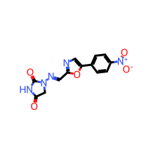 O=C1CN(N=Cc2ncc(-c3ccc([N+](=O)[O-])cc3)o2)C(=O)N1